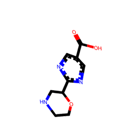 O=C(O)c1cnc(C2CNCCO2)nc1